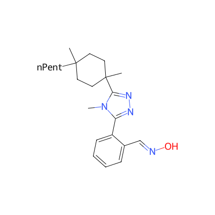 CCCCCC1(C)CCC(C)(c2nnc(-c3ccccc3/C=N/O)n2C)CC1